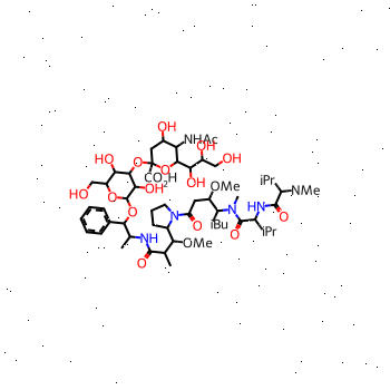 CCC(C)C(C(CC(=O)N1CCCC1C(OC)C(C)C(=O)NC(C)C(OC1OC(CO)C(O)C(OC2(C(=O)O)CC(O)C(NC(C)=O)C(C(O)C(O)CO)O2)C1O)c1ccccc1)OC)N(C)C(=O)C(NC(=O)C(NC)C(C)C)C(C)C